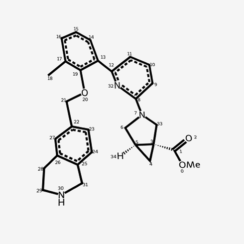 COC(=O)[C@]12C[C@H]1CN(c1cccc(-c3cccc(C)c3OCc3ccc4c(c3)CCNC4)n1)C2